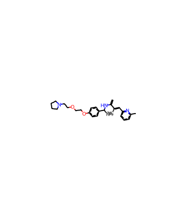 C=C(NC(CCC)c1ccc(OCCOCCN2CCCC2)cc1)/C(C#N)=C/c1cccc(C)n1